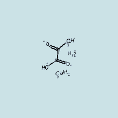 O=C(O)C(=O)O.S.[CaH2]